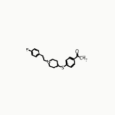 CC(=O)c1ccc(SC2CCN(CCc3ccc(F)cc3)CC2)cc1